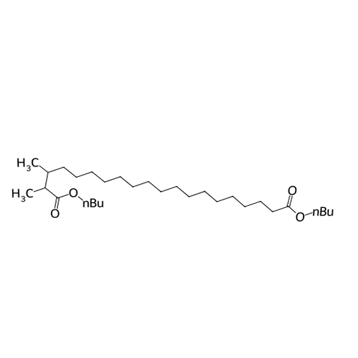 CCCCOC(=O)CCCCCCCCCCCCCCCCC(C)C(C)C(=O)OCCCC